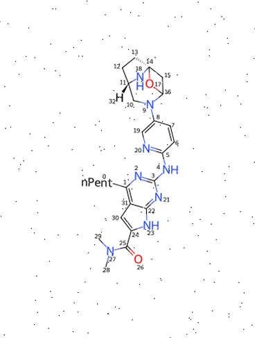 CCCCCc1nc(Nc2ccc(N3C[C@@H]4CC[C@@]5(CC3O5)N4)cn2)nc2[nH]c(C(=O)N(C)C)cc12